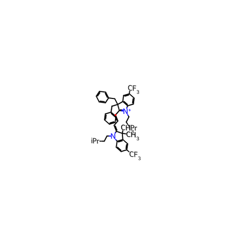 CC(C)CCN1/C(=C/C=C/C2=[N+](CCC(C)C)c3ccc(C(F)(F)F)cc3C2(Cc2ccccc2)Cc2ccccc2)C(C)(C)c2cc(C(F)(F)F)ccc21